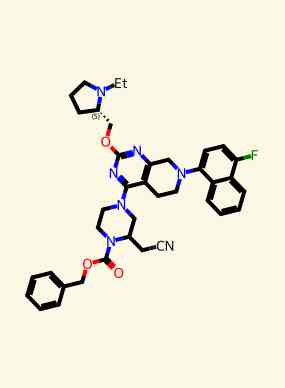 CCN1CCC[C@H]1COc1nc2c(c(N3CCN(C(=O)OCc4ccccc4)C(CC#N)C3)n1)CCN(c1ccc(F)c3ccccc13)C2